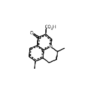 Cc1ccc2c(=O)c(C(=O)O)cn3c2c1CCC3C